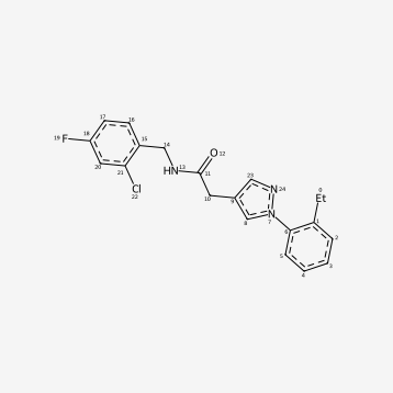 CCc1ccccc1-n1cc(CC(=O)NCc2ccc(F)cc2Cl)cn1